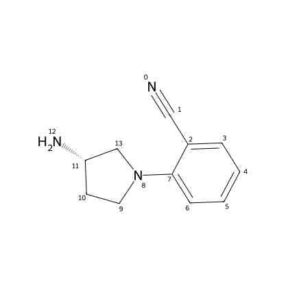 N#Cc1ccccc1N1CC[C@H](N)C1